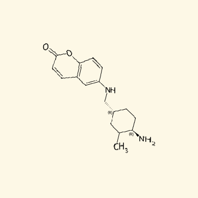 CC1C[C@H](CNc2ccc3oc(=O)ccc3c2)CC[C@H]1N